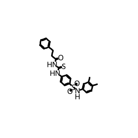 Cc1ccc(NS(=O)(=O)c2ccc(NC(=S)NC(=O)CCc3ccccc3)cc2)cc1C